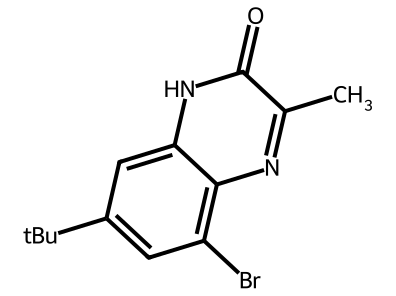 Cc1nc2c(Br)cc(C(C)(C)C)cc2[nH]c1=O